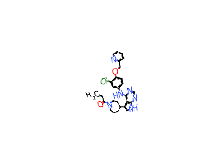 C=CC(=O)N1CCCC(c2c[nH]c3ncnc(Nc4ccc(OCc5ccccn5)c(Cl)c4)c23)CC1